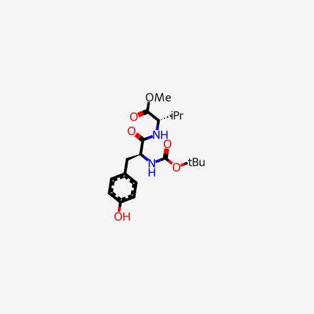 COC(=O)[C@@H](NC(=O)[C@H](Cc1ccc(O)cc1)NC(=O)OC(C)(C)C)C(C)C